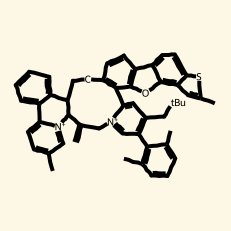 C=C1C[n+]2cc(-c3c(C)cccc3C)c(CC(C)(C)C)cc2-c2c(ccc3c2oc2c4cc(C)sc4ccc32)CCC2c3ccccc3-c3ccc(C)c[n+]3C12